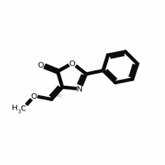 CO/C=C1/N=C(c2ccccc2)OC1=O